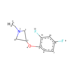 CN1CC(Oc2ccc(F)cc2F)C1